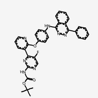 CC(C)(C)OC(=O)Nc1ncc(F)c(-c2cccnc2Oc2ccc(Nc3nnc(-c4ccccc4)c4ccccc34)cc2)n1